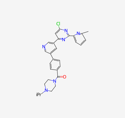 Cc1cccc(-c2nc(Cl)cc(-c3cncc(-c4ccc(C(=O)N5CCN(C(C)C)CC5)cc4)c3)n2)n1